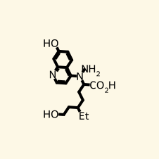 CCC(CCO)CCC(C(=O)O)N(N)c1ccnc2cc(O)ccc12